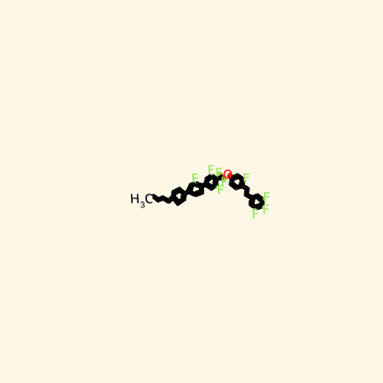 CCCCCc1ccc(-c2ccc(-c3cc(F)c(C(F)(F)Oc4ccc(CCc5cc(F)c(F)c(F)c5)c(F)c4)c(F)c3)c(F)c2)cc1